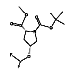 COC(=O)[C@H]1C[C@@H](OC(F)F)CN1C(=O)OC(C)(C)C